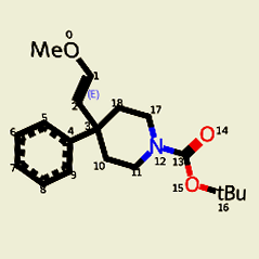 CO/C=C/C1(c2ccccc2)CCN(C(=O)OC(C)(C)C)CC1